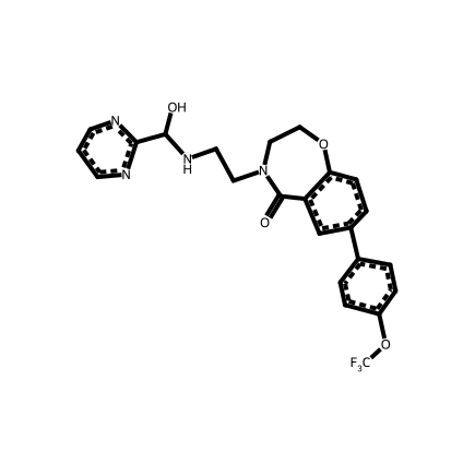 O=C1c2cc(-c3ccc(OC(F)(F)F)cc3)ccc2OCCN1CCNC(O)c1ncccn1